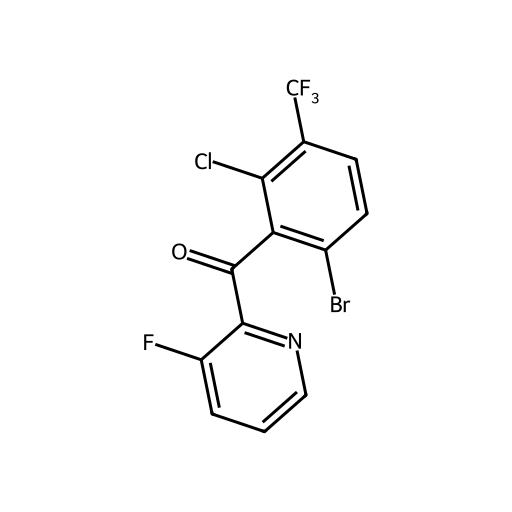 O=C(c1ncccc1F)c1c(Br)ccc(C(F)(F)F)c1Cl